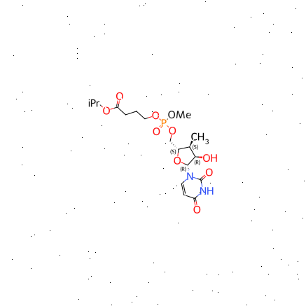 COP(=O)(OCCCC(=O)OC(C)C)OC[C@H]1O[C@@H](n2ccc(=O)[nH]c2=O)[C@H](O)[C@@H]1C